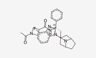 CC(=O)N1CC(C(=O)N[C@@H](CCN2C3CCC2CC(n2cnc4c(F)cccc42)C3)c2ccccc2)C1